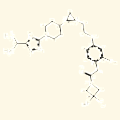 CC(C)c1noc(N2CCC([C@H]3C[C@H]3CCOc3ccc(CC(=O)N4CC(F)(F)C4)c(F)c3)CC2)n1